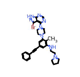 Cc1c(NCCN2CCCC2)cc(C#Cc2ccccc2)cc1N1CCN(c2ncnc3[nH]nc(Br)c23)CC1